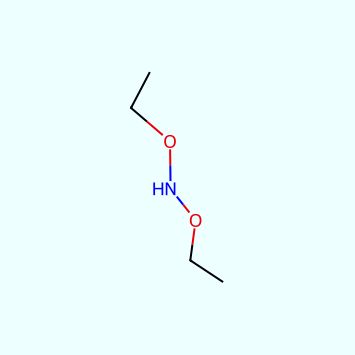 CCONOCC